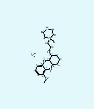 COc1cccc2c1OC1CCCC(OCC[N+]3(C)CCOCC3)C1O2.[Br-]